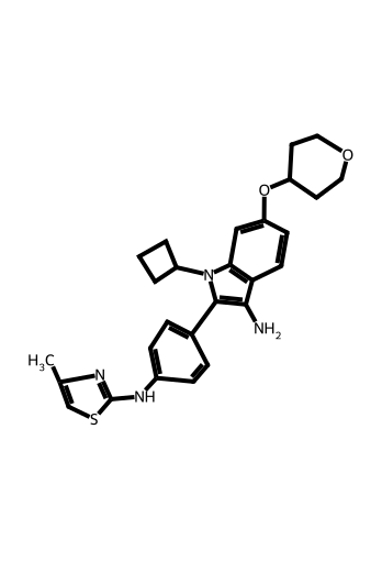 Cc1csc(Nc2ccc(-c3c(N)c4ccc(OC5CCOCC5)cc4n3C3CCC3)cc2)n1